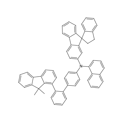 CC1(C)c2ccccc2-c2cccc(-c3ccccc3-c3ccc(N(c4ccc5c(c4)C4(CCc6ccccc64)c4ccccc4-5)c4cccc5ccccc45)cc3)c21